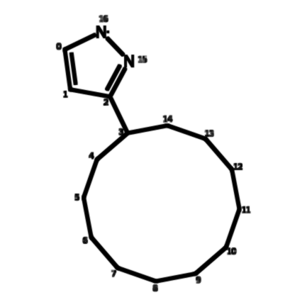 C1=CC(C2CCCCCCCCCCC2)=N[N]1